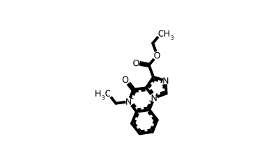 CCOC(=O)c1ncn2c1c(=O)n(CC)c1ccccc12